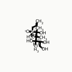 C=CC[SH](C)(=O)C(C)(O)C(C)(C)C(C)(O)C(C)(O)CO